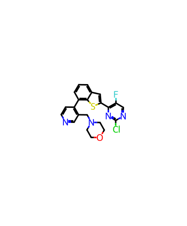 Fc1cnc(Cl)nc1-c1cc2cccc(-c3ccncc3CN3CCOCC3)c2s1